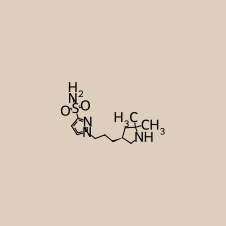 CC1(C)C[C@H](CCCn2ccc(S(N)(=O)=O)n2)CN1